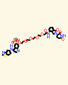 CC(C)(C)S(=O)(=O)c1cc2c(Nc3ccc4scnc4c3)ccnc2cc1OCCOCCOCCOCCOCC(=O)Nc1cccc2c1CN(C1CCC(=O)NC1=O)C2=O